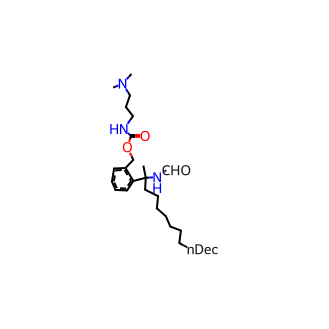 CCCCCCCCCCCCCCCCCC(C)(NC=O)c1ccccc1COC(=O)NCCCN(C)C